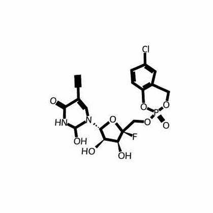 C#CC1=CN([C@@H]2O[C@](F)(COP3(=O)OCc4cc(Cl)ccc4O3)[C@@H](O)[C@H]2O)C(O)NC1=O